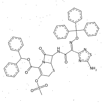 CS(=O)(=O)OC1=C(C(=O)OC(c2ccccc2)c2ccccc2)N2C(=O)C(NC(=O)C(=NOC(c3ccccc3)(c3ccccc3)c3ccccc3)c3nsc(N)n3)C2SC1